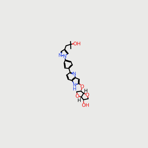 CC(C)(O)Cc1cnn(-c2ccc(-c3ccc4[nH]c(O[C@@H]5CO[C@H]6[C@@H]5OC[C@H]6O)cc4n3)cc2)c1